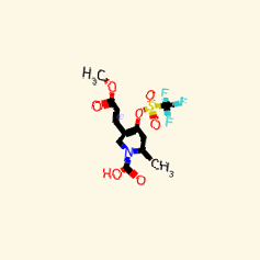 COC(=O)/C=C/C1=C(OS(=O)(=O)C(F)(F)F)CC(C)N(C(=O)O)C1